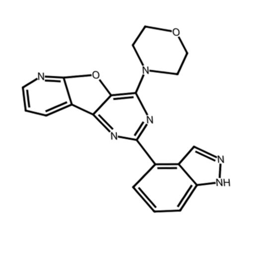 c1cc(-c2nc(N3CCOCC3)c3oc4ncccc4c3n2)c2cn[nH]c2c1